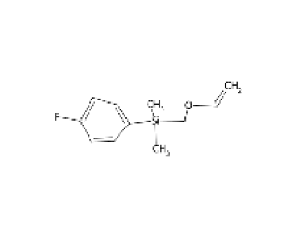 C=COC[Si](C)(C)c1ccc(F)cc1